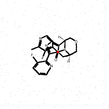 Cc1nccc(C(=O)N2[C@H]3COC[C@@H]2c2nnc(-c4ncccc4F)n2C3)c1F